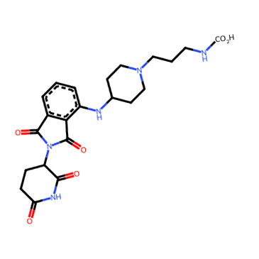 O=C(O)NCCCN1CCC(Nc2cccc3c2C(=O)N(C2CCC(=O)NC2=O)C3=O)CC1